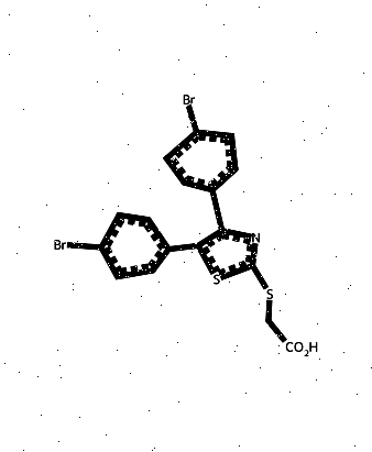 O=C(O)CSc1nc(-c2ccc(Br)cc2)c(-c2ccc(Br)cc2)s1